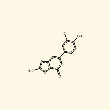 Cc1nc2c(=O)oc(-c3ccc(O)c(Cl)c3)cc2s1